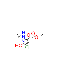 CCCOC(=O)CC(=O)c1cc(Cl)c(O)nc1NC1CCC1